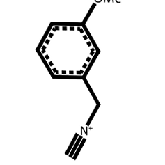 C#[N+]Cc1cccc(OC)c1